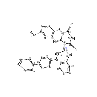 COc1ccc(CN2C(=N)/C(=C(\NCc3ccc(-c4ccccn4)cc3)Nc3ccccc3)C(=O)NC2=O)cc1